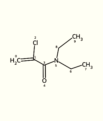 C=C(Cl)C(=O)N(CC)CC